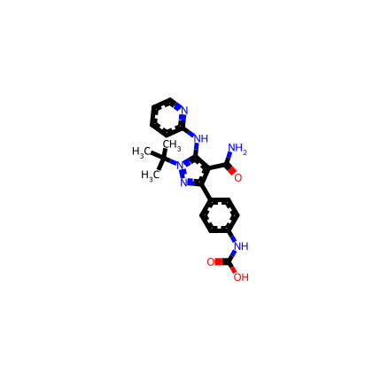 CC(C)(C)n1nc(-c2ccc(NC(=O)O)cc2)c(C(N)=O)c1Nc1ccccn1